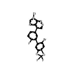 CCn1cnc2c(-c3ccc(F)c(-c4cc5c(cc4Br)OC(F)(F)O5)c3)cnnc21